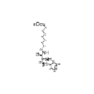 CCCCCCCCCCCCCCCCCCNC(=O)C1CSC(c2ccccc2)N1